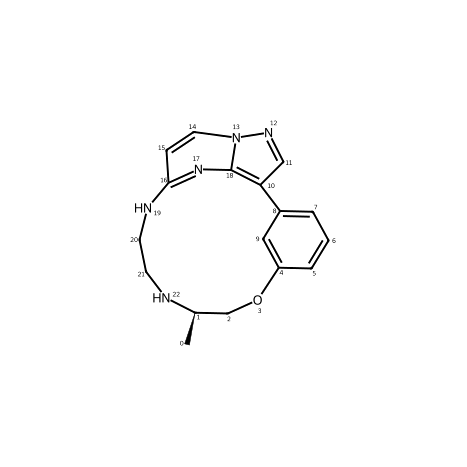 C[C@@H]1COc2cccc(c2)-c2cnn3ccc(nc23)NCCN1